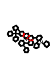 c1ccc(-c2ccccc2-c2c(-c3ccccc3)cccc2N(c2ccc(-c3cccc4c3c3ccccc3n4-c3ccccc3)cc2)c2ccc3c(c2)C(c2ccccc2)(c2ccccc2)c2ccccc2-3)cc1